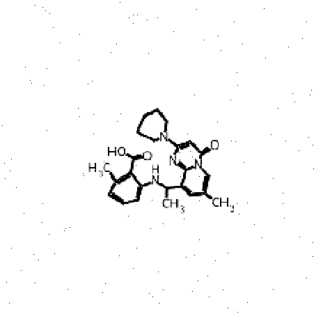 Cc1cc(C(C)Nc2cccc(C)c2C(=O)O)c2nc(N3CCCCC3)cc(=O)n2c1